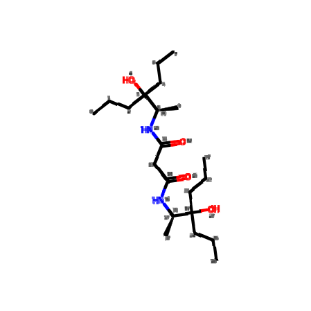 CCCC(O)(CCC)[C@@H](C)NC(=O)CC(=O)N[C@H](C)C(O)(CCC)CCC